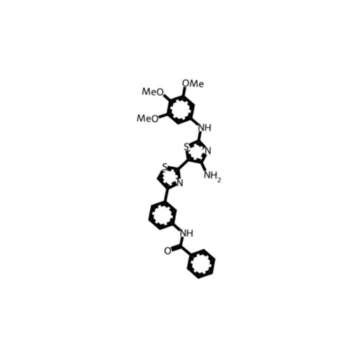 COc1cc(Nc2nc(N)c(-c3nc(-c4cccc(NC(=O)c5ccccc5)c4)cs3)s2)cc(OC)c1OC